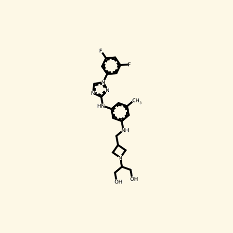 Cc1cc(NCC2CN(C(CO)CO)C2)cc(Nc2ncn(-c3cc(F)cc(F)c3)n2)c1